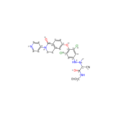 CCOC(=O)NC(=O)C(C#N)N(C)Nc1cc(Cl)c(Oc2ccc3c(c2)CCN(c2ccncc2)C3=O)c(Cl)c1